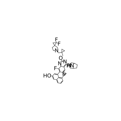 C#Cc1cccc2cc(O)cc(-c3c(F)cc4c(N5CC6CCC(C5)N6)nc(OCC5(CN6CCC7(C6)CC7(F)F)CC5)nc4c3F)c12